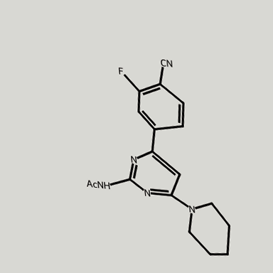 CC(=O)Nc1nc(-c2ccc(C#N)c(F)c2)cc(N2CCCCC2)n1